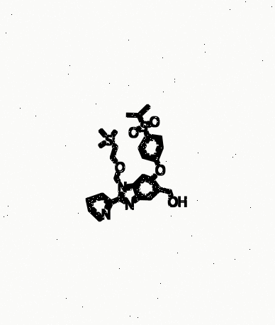 CC(C)S(=O)(=O)c1ccc(Oc2cc3c(cc2CO)nc(-c2ccccn2)n3COCC[Si](C)(C)C)cc1